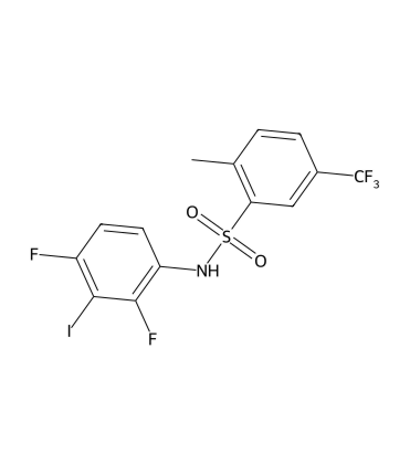 Cc1ccc(C(F)(F)F)cc1S(=O)(=O)Nc1ccc(F)c(I)c1F